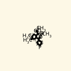 CO/N=C(\C(=O)OC)C1=C(C(=O)c2ccc(F)cc2)CC(C)=C(C)C1